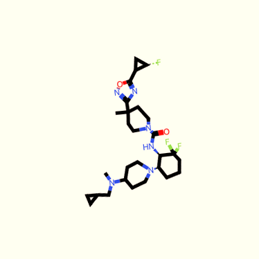 CN(CC1CC1)C1CCN([C@H]2CCCC(F)(F)[C@@H]2NC(=O)N2CCC(C)(c3noc(C4C[C@@H]4F)n3)CC2)CC1